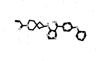 C=CC(=O)N1CCC2(CC1)CC(Nc1ncncc1C(=N)c1ccc(Oc3ccccc3)cc1)C2